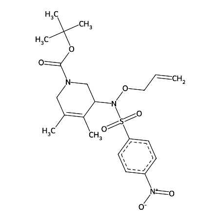 C=CCON(C1CN(C(=O)OC(C)(C)C)CC(C)=C1C)S(=O)(=O)c1ccc([N+](=O)[O-])cc1